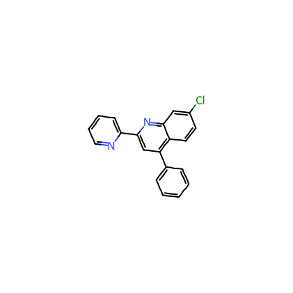 Clc1ccc2c(-c3ccccc3)cc(-c3ccccn3)nc2c1